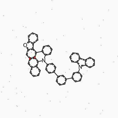 c1cc(-c2ccc(N(c3ccccc3-c3cccc4oc5ccccc5c34)c3cccc4ccccc34)cc2)cc(-c2cccc(-n3c4ccccc4c4ccccc43)c2)c1